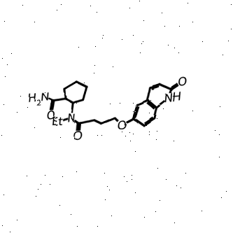 CCN(C(=O)CCCOc1ccc2[nH]c(=O)ccc2c1)C1CCCCC1C(N)=O